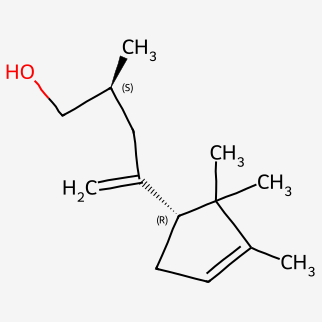 C=C(C[C@H](C)CO)[C@H]1CC=C(C)C1(C)C